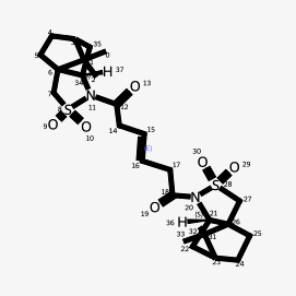 CC1(C)C2CCC13CS(=O)(=O)N(C(=O)C/C=C/CC(=O)N1[C@H]4CC5CCC4(CS1(=O)=O)C5(C)C)[C@H]3C2